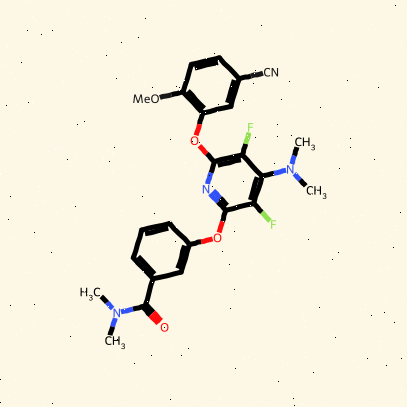 COc1ccc(C#N)cc1Oc1nc(Oc2cccc(C(=O)N(C)C)c2)c(F)c(N(C)C)c1F